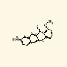 COc1cccc2oc3cc4ccc(C)cc4cc3c(=O)c12